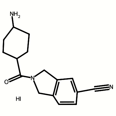 I.N#Cc1ccc2c(c1)CN(C(=O)C1CCC(N)CC1)C2